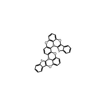 c1cc2c3c(c1)Oc1c(sc4ccccc14)B3c1ccc3c(c1O2)B1c2sc4ccccc4c2Oc2cccc(c21)O3